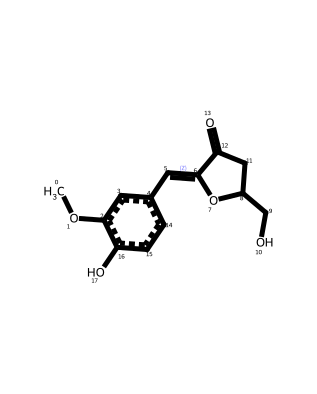 COc1cc(/C=C2\OC(CO)CC2=O)ccc1O